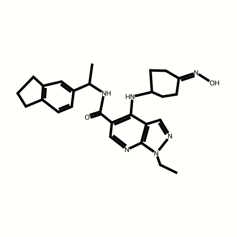 CCn1ncc2c(NC3CCC(=NO)CC3)c(C(=O)NC(C)c3ccc4c(c3)CCC4)cnc21